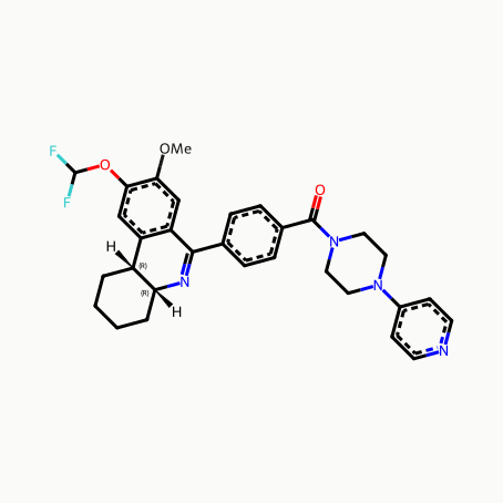 COc1cc2c(cc1OC(F)F)[C@H]1CCCC[C@H]1N=C2c1ccc(C(=O)N2CCN(c3ccncc3)CC2)cc1